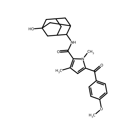 COc1ccc(C(=O)c2cc(C)c(C(=O)NC3C4CC5CC3CC(O)(C5)C4)n2C)cc1